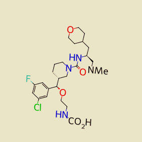 CNC[C@H](CC1CCOCC1)NC(=O)N1CCC[C@@H]([C@@H](OCCNC(=O)O)c2cc(F)cc(Cl)c2)C1